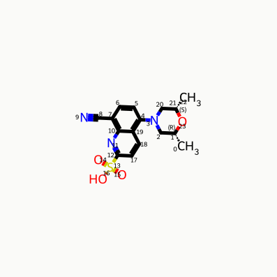 C[C@@H]1CN(c2ccc(C#N)c3nc(S(=O)(=O)O)ccc23)C[C@H](C)O1